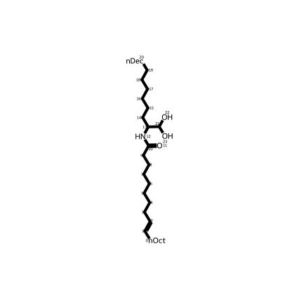 CCCCCCCCC=CCCCCCCCC(=O)NC(CCCCCCCCCCCCCCCC)C(O)O